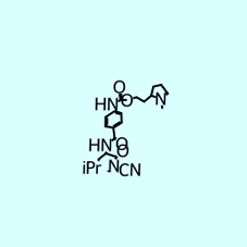 CC(C)CC(NC(=O)c1ccc(NC(=O)OCCC2CCCN2C)cc1)C(=O)N(C)C#N